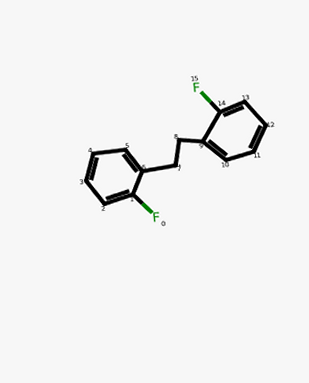 Fc1ccccc1[CH]Cc1ccccc1F